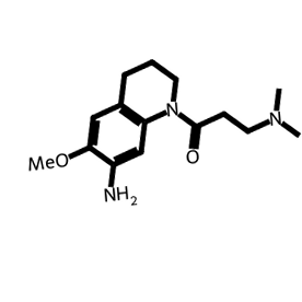 COc1cc2c(cc1N)N(C(=O)CCN(C)C)CCC2